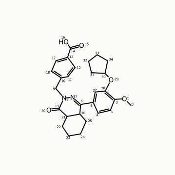 COc1ccc(C2=NN(Cc3ccc(C(=O)O)cc3)C(=O)C3CCCCC23)cc1OC1CCCC1